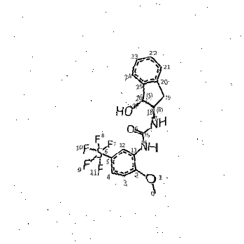 COc1ccc(S(F)(F)(F)(F)F)cc1NC(=O)N[C@@H]1Cc2ccccc2[C@@H]1O